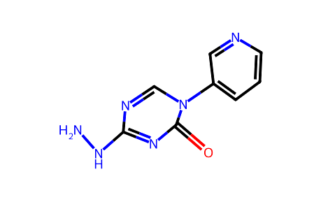 NNc1ncn(-c2cccnc2)c(=O)n1